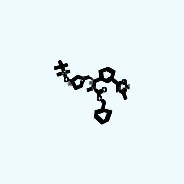 Cc1noc(-c2cccc([C@@H](CN3CC[C@@H](O[Si](C)(C)C(C)(C)C)C3)N(C)C(=O)OCc3ccccc3)c2)n1